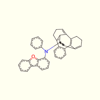 C1=C2C3=C4C(=CCC3)c3ccc(N(c5ccccc5)c5cccc6c5oc5ccccc56)cc3C2=C(CC1)c1ccccc14